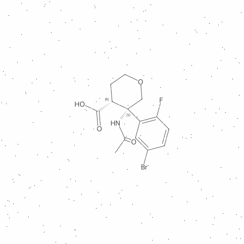 CC(=O)N[C@@]1(c2cc(Br)ccc2F)COCC[C@H]1C(=O)O